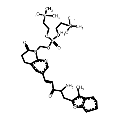 Cc1c(CC(N)C(=O)/C=C/c2cnc3c(c2)CCC(=O)N3COP(=O)(OCC[Si](C)(C)C)OCC[Si](C)(C)C)oc2ccccc12